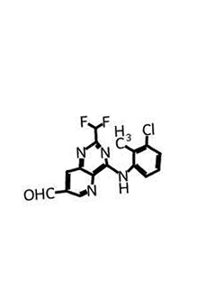 Cc1c(Cl)cccc1Nc1nc(C(F)F)nc2cc(C=O)cnc12